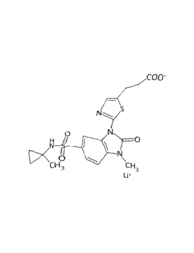 Cn1c(=O)n(-c2ncc(CCC(=O)[O-])s2)c2cc(S(=O)(=O)NC3(C)CC3)ccc21.[Li+]